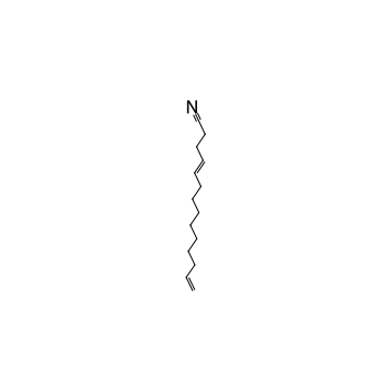 C=CCCCCCCCC=CCCC#N